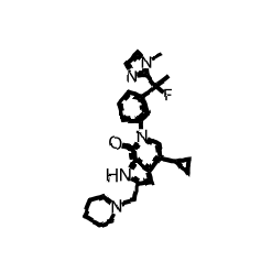 Cn1ccnc1C(C)(F)c1cccc(-n2cc(C3CC3)c3cc(CN4CCCCC4)[nH]c3c2=O)c1